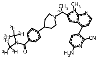 [2H]C([2H])([2H])N(C(=O)c1ccc(C2CCN([C@@H](C)c3cc4c(-c5ccc(N)nc5C#N)ccnc4n3C)CC2)cc1)C([2H])([2H])[2H]